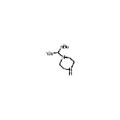 CCCCC(CCCC)N1CCNCC1